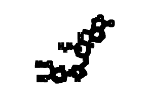 COc1nc(-n2cc(CN3C[C@@H](c4ccc5c(c4C)COC5=O)N[C@@H](N)C3)cn2)ccc1C#N